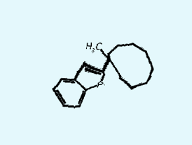 CC1(C2=Cc3ccccc3[P]2)CCCCCCC1